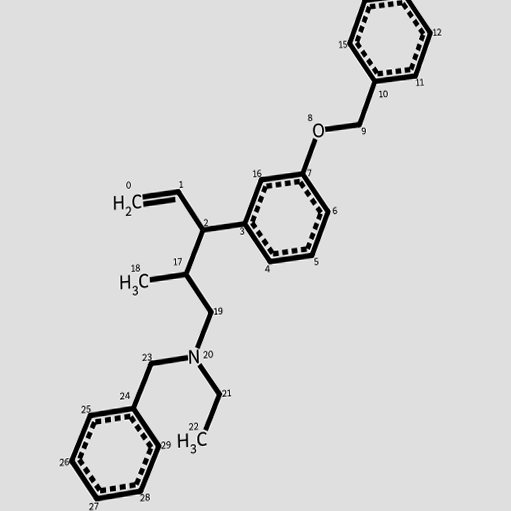 C=CC(c1cccc(OCc2ccccc2)c1)C(C)CN(CC)Cc1ccccc1